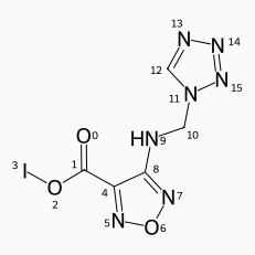 O=C(OI)c1nonc1NCn1cnnn1